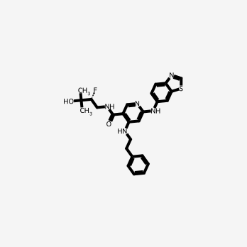 CC(C)(O)[C@H](F)CNC(=O)c1cnc(Nc2ccc3ncsc3c2)cc1NCCc1ccccc1